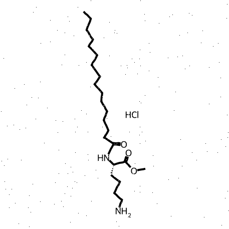 CCCCCCCCCCCCCCCC(=O)N[C@@H](CCCCN)C(=O)OC.Cl